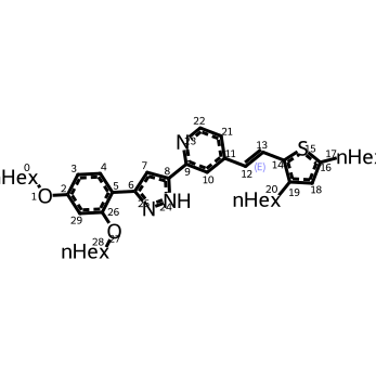 CCCCCCOc1ccc(-c2cc(-c3cc(/C=C/c4sc(CCCCCC)cc4CCCCCC)ccn3)[nH]n2)c(OCCCCCC)c1